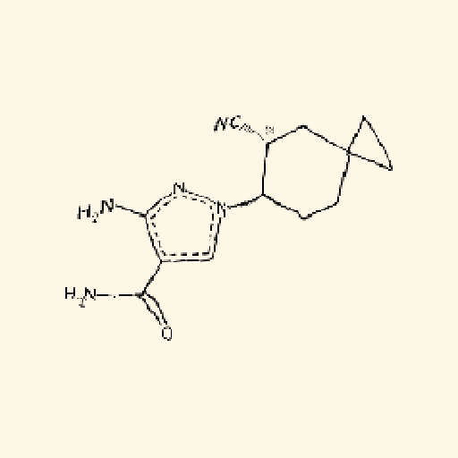 N#C[C@@H]1CC2(CCC1n1cc(C(N)=O)c(N)n1)CC2